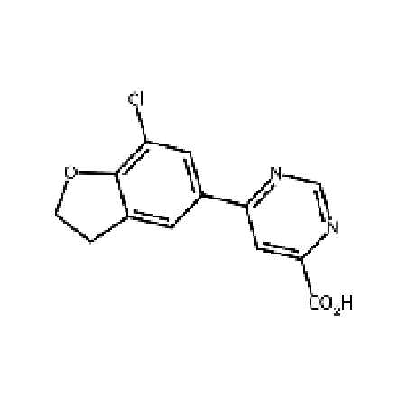 O=C(O)c1cc(-c2cc(Cl)c3c(c2)CCO3)ncn1